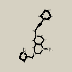 CN1CN(Cc2ccc[nH]2)CC2=C1CCN(CC#Cc1ccccc1)C2